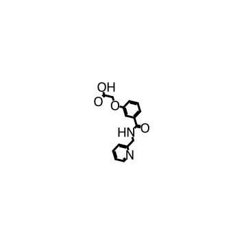 O=C(O)COc1cccc(C(=O)NCc2ccccn2)c1